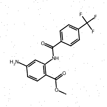 COC(=O)c1ccc(N)cc1NC(=O)c1ccc(C(F)(F)F)cc1